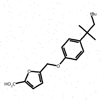 CC(C)(C)CC(C)(C)c1ccc(OCc2ccc(C(=O)O)o2)cc1